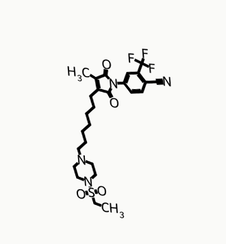 CCS(=O)(=O)N1CCN(CCCCCCCC2=C(C)C(=O)N(c3ccc(C#N)c(C(F)(F)F)c3)C2=O)CC1